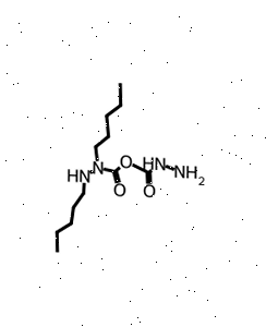 CCCCCNN(CCCCC)C(=O)OC(=O)NN